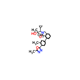 Cc1nnc(-c2ccc(-c3cccc4c3C(=O)N(C(C3CC3)C(C)(C)O)C4)cc2C)o1